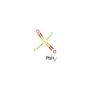 O=S(=O)(F)F.[PbH2]